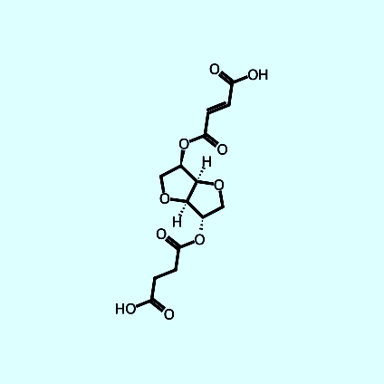 O=C(O)/C=C/C(=O)O[C@@H]1CO[C@H]2[C@@H]1OC[C@@H]2OC(=O)CCC(=O)O